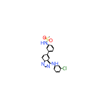 CS(=O)(=O)Nc1cccc(-c2ccc3ncnc(Nc4cccc(Cl)c4)c3c2)c1